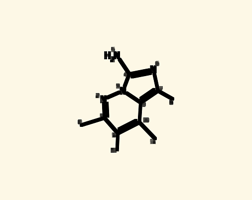 Cc1nn2c(N)nc(C)c2c(C)c1C